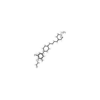 CCC[SiH]1CCC(CCCCC2CCC(c3cc(F)c(OCCF)c(F)c3)CC2)CC1